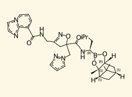 CC(C)C[C@H](NC(=O)C1(Cn2cccn2)CC(CNC(=O)c2cccn3ccnc23)=NO1)B1O[C@@H]2C[C@@H]3C[C@@H](C3(C)C)[C@]2(C)O1